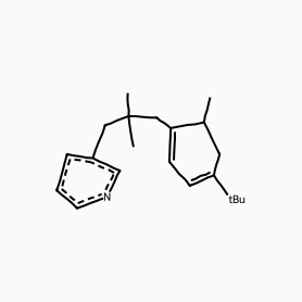 CC1CC(C(C)(C)C)=CC=C1CC(C)(C)Cc1cccnc1